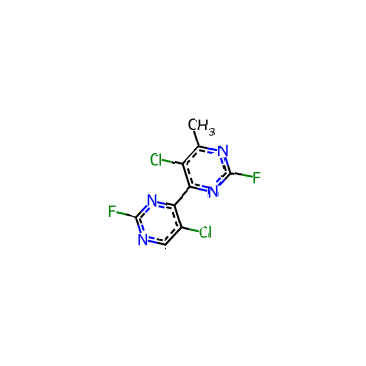 Cc1nc(F)nc(-c2nc(F)n[c]c2Cl)c1Cl